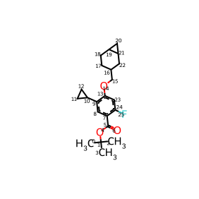 CC(C)(C)OC(=O)c1cc(C2CC2)c(OCC2CCC3CC3C2)cc1F